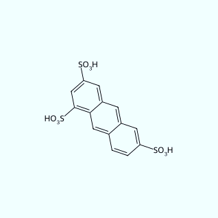 O=S(=O)(O)c1ccc2cc3c(S(=O)(=O)O)cc(S(=O)(=O)O)cc3cc2c1